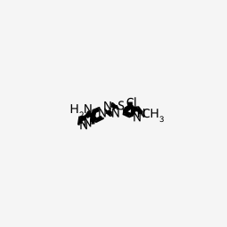 Cn1cc2c(Cl)c(Sc3cnc(N4CCC5(CC4)Cn4nccc4[C@H]5N)cn3)ccc2n1